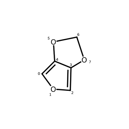 c1occ2c1OCO2